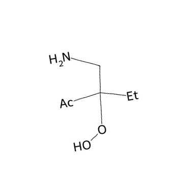 CCC(CN)(OO)C(C)=O